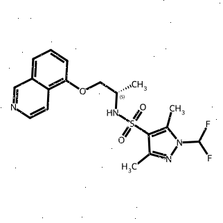 Cc1nn(C(F)F)c(C)c1S(=O)(=O)N[C@@H](C)COc1cccc2cnccc12